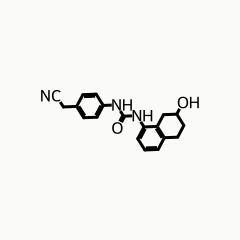 N#CCc1ccc(NC(=O)Nc2cccc3c2CC(O)CC3)cc1